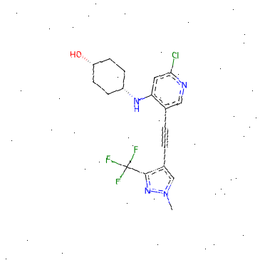 Cn1cc(C#Cc2cnc(Cl)cc2N[C@H]2CC[C@@H](O)CC2)c(C(F)(F)F)n1